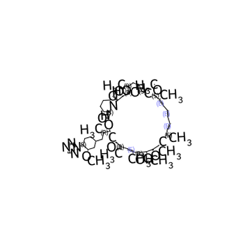 COC1C(=O)C(C)C[C@H](C)/C=C/C=C/C=C(\C)[C@@H](OC)C[C@@H]2CC[C@@H](C)[C@@](O)(O2)C(=O)C(=O)N2CCCC[C@H]2C(=O)OC([C@H](C)CC2CC[C@H](n3ncnn3)C(OC)C2)CC(=O)[C@H](C)/C=C(\C)[C@H]1O